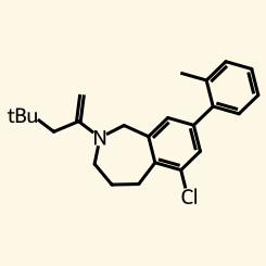 C=C(CC(C)(C)C)N1CCCc2c(Cl)cc(-c3ccccc3C)cc2C1